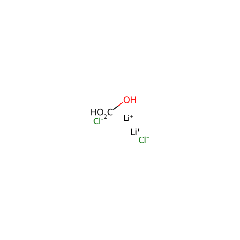 O=C(O)O.[Cl-].[Cl-].[Li+].[Li+]